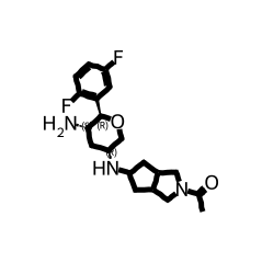 CC(=O)N1CC2CC(N[C@H]3CO[C@H](c4cc(F)ccc4F)[C@@H](N)C3)CC2C1